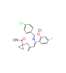 C=C(/C=C(\N=C\c1ccc(Cl)cc1)c1ccc(F)cc1OCC)CC1(C(=O)N=O)CC1